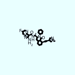 C[C@H](NC(=O)c1c(N)nn2cc(F)cnc12)c1cc2cccc(C#Cc3cnn(C)c3)c2c(=O)n1-c1ccccc1